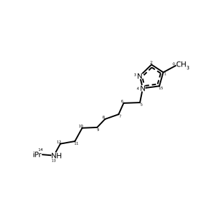 Cc1cnn(CCCCCCCCNC(C)C)c1